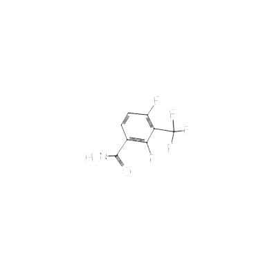 NC(=O)c1ccc(F)c(C(F)(F)F)c1F